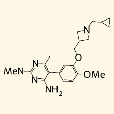 CNc1nc(C)c(-c2ccc(OC)c(OCC3CN(CC4CC4)C3)c2)c(N)n1